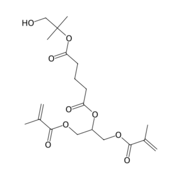 C=C(C)C(=O)OCC(COC(=O)C(=C)C)OC(=O)CCCC(=O)OC(C)(C)CO